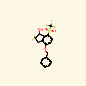 O=S(=O)(c1ccc(OCc2ccccc2)c2c1C(O)C(F)(F)C2)C(F)(F)F